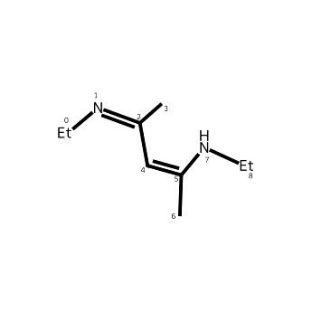 CCN=C(C)C=C(C)NCC